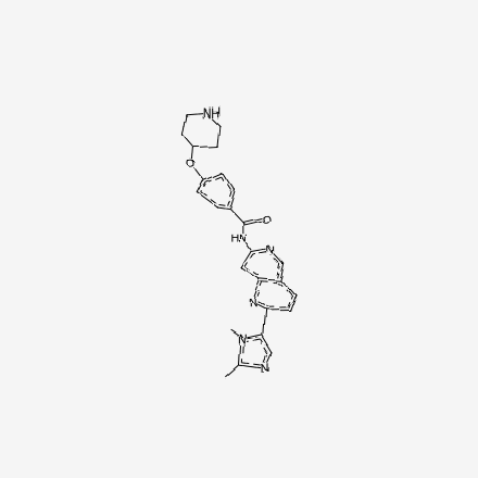 Cc1ncc(-c2ccc3cnc(NC(=O)c4ccc(OC5CCNCC5)cc4)cc3n2)n1C